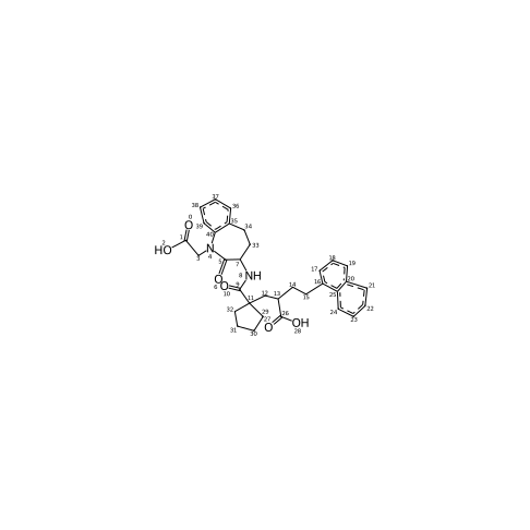 O=C(O)CN1C(=O)C(NC(=O)C2(CC(CCc3cccc4ccccc34)C(=O)O)CCCC2)CCc2ccccc21